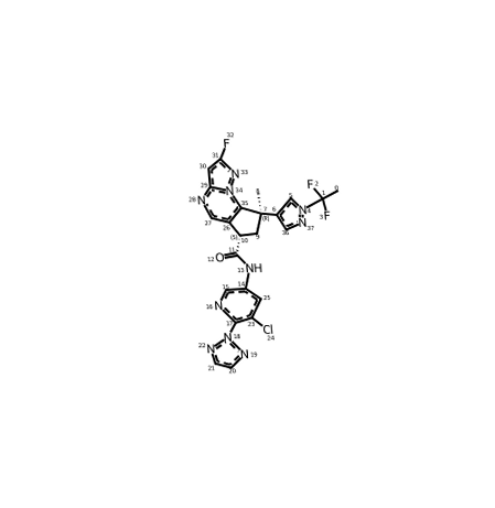 CC(F)(F)n1cc([C@@]2(C)C[C@H](C(=O)Nc3cnc(-n4nccn4)c(Cl)c3)c3cnc4cc(F)nn4c32)cn1